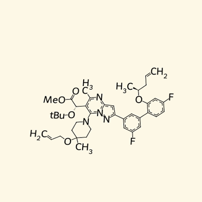 C=CCOC1(C)CCN(c2c([C@H](OC(C)(C)C)C(=O)OC)c(C)nc3cc(-c4cc(F)cc(-c5ccc(F)cc5O[C@@H](C)CC=C)c4)nn23)CC1